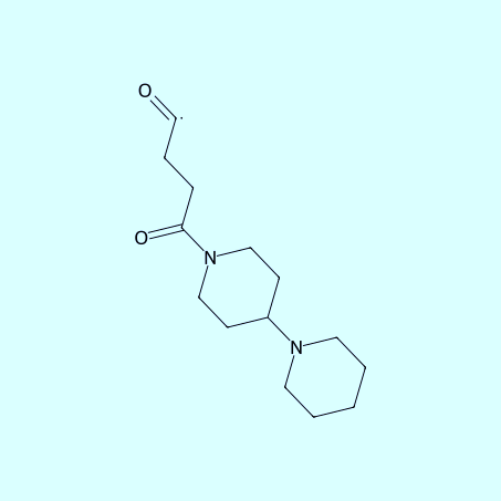 O=[C]CCC(=O)N1CCC(N2CCCCC2)CC1